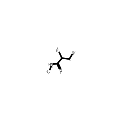 C[CH]NC(=O)C(Br)CBr